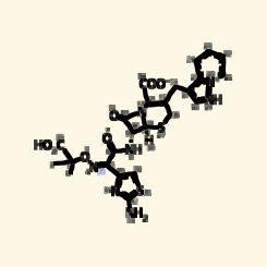 CC(C)(O/N=C(\C(=O)N[C@@H]1C(=O)N2C(C(=O)[O-])=C(Cc3c[nH][n+]4ccccc34)CS[C@@H]12)c1csc(N)n1)C(=O)O